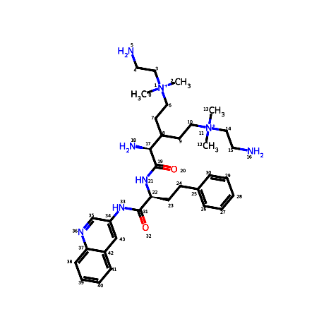 C[N+](C)(CCN)CCC(CC[N+](C)(C)CCN)[C@H](N)C(=O)N[C@@H](CCc1ccccc1)C(=O)Nc1cnc2ccccc2c1